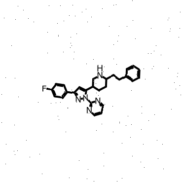 Fc1ccc(-c2cc(C3CCC(CCc4ccccc4)NC3)n(-c3ncccn3)n2)cc1